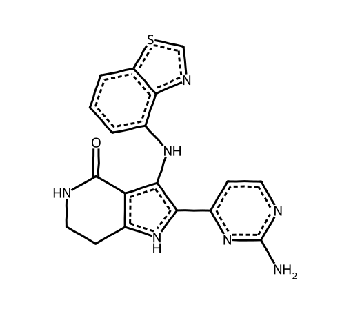 Nc1nccc(-c2[nH]c3c(c2Nc2cccc4scnc24)C(=O)NCC3)n1